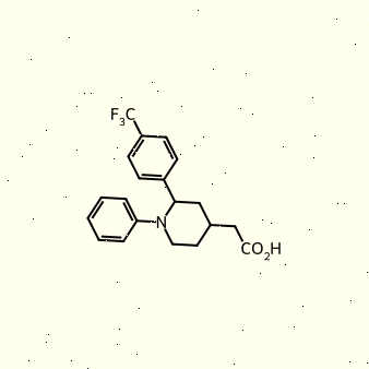 O=C(O)CC1CCN(c2ccccc2)C(c2ccc(C(F)(F)F)cc2)C1